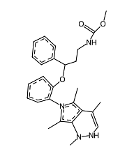 COC(=O)NCCC(Oc1ccccc1-n1c(C)c2c(c1C)N(C)NC=C2C)c1ccccc1